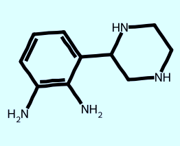 Nc1cccc(C2CNCCN2)c1N